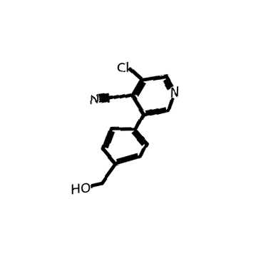 N#Cc1c(Cl)cncc1-c1ccc(CO)cc1